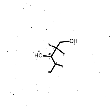 CC(C)[C@@H](O)C(C)(C)CO